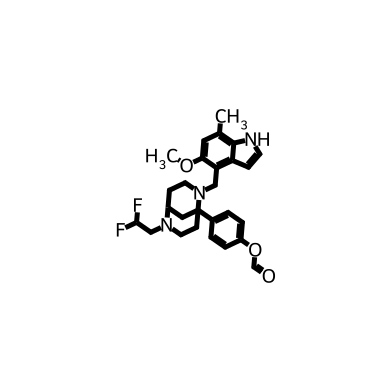 COc1cc(C)c2[nH]ccc2c1CN1CCC2CC1(c1ccc(OC=O)cc1)CCN2CC(F)F